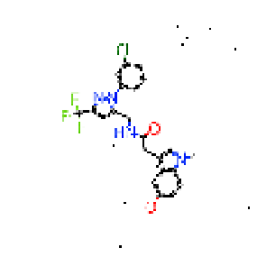 Cn1cc(CC(=O)NCc2cc(C(F)(F)F)nn2-c2cccc(Cl)c2)c2cc(O)ccc21